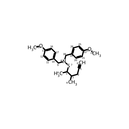 C#CCC(C)C(C)SN(Cc1ccc(OC)cc1)Cc1ccc(OC)cc1